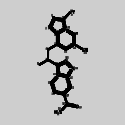 CC(C)c1nnc2c(CC(C)c3nnc4cc(C(N)=O)ccn34)cc(C#N)cn12